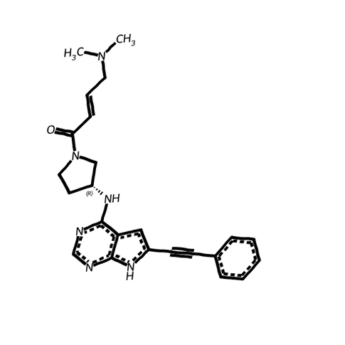 CN(C)CC=CC(=O)N1CC[C@@H](Nc2ncnc3[nH]c(C#Cc4ccccc4)cc23)C1